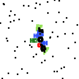 Cl.O=C(N[C@H]1CC[C@@H](Nc2nccc(C(F)(F)F)n2)CC1)c1ccc(F)c(F)c1